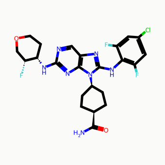 NC(=O)[C@H]1CC[C@@H](n2c(Nc3c(F)cc(Cl)cc3F)nc3cnc(N[C@H]4CCOC[C@H]4F)nc32)CC1